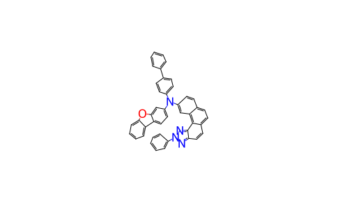 c1ccc(-c2ccc(N(c3ccc4c(c3)oc3ccccc34)c3ccc4ccc5ccc6nn(-c7ccccc7)nc6c5c4c3)cc2)cc1